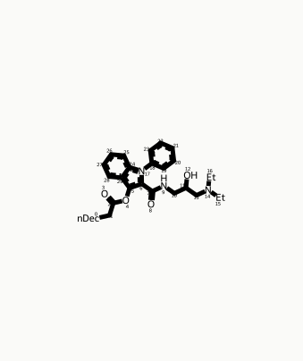 CCCCCCCCCCCC(=O)Oc1c(C(=O)NCC(O)CN(CC)CC)n(-c2ccccc2)c2ccccc12